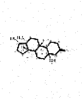 C[C@]12CC[C@H]3[C@@H](CC[C@@]4(O)CC(=O)CC[C@]34C)[C@@H]1CC[C@@H]2O